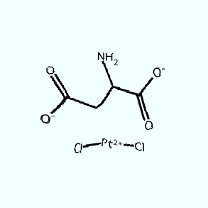 NC(CC(=O)[O-])C(=O)[O-].[Cl][Pt+2][Cl]